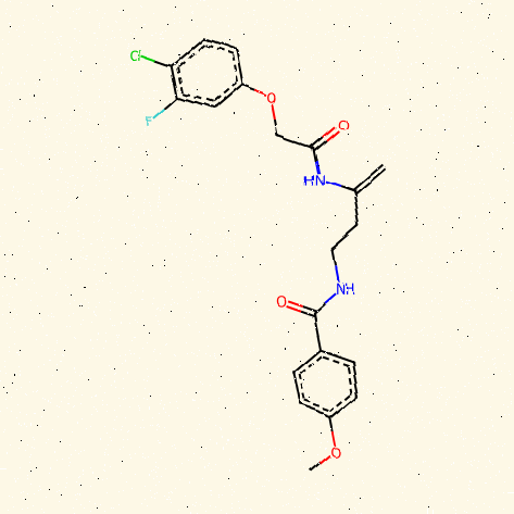 C=C(CCNC(=O)c1ccc(OC)cc1)NC(=O)COc1ccc(Cl)c(F)c1